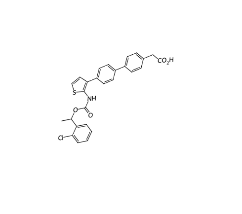 CC(OC(=O)Nc1sccc1-c1ccc(-c2ccc(CC(=O)O)cc2)cc1)c1ccccc1Cl